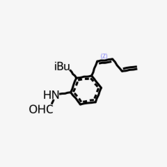 C=C/C=C\c1cccc(NC=O)c1C(C)CC